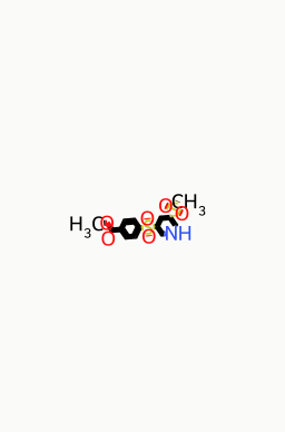 COC(=O)c1ccc(S(=O)(=O)C2CNCC(S(C)(=O)=O)C2)cc1